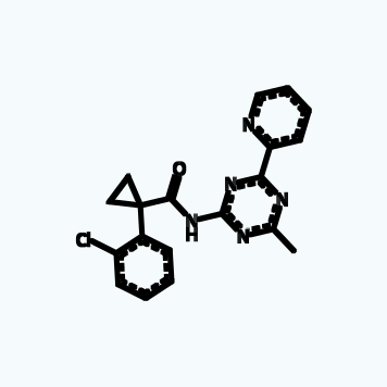 Cc1nc(NC(=O)C2(c3ccccc3Cl)CC2)nc(-c2ccccn2)n1